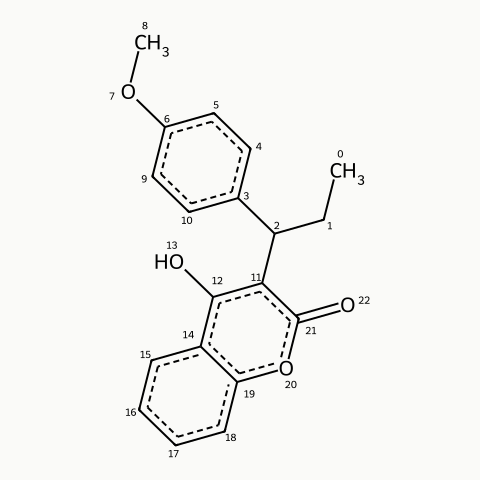 CCC(c1ccc(OC)cc1)c1c(O)c2ccccc2oc1=O